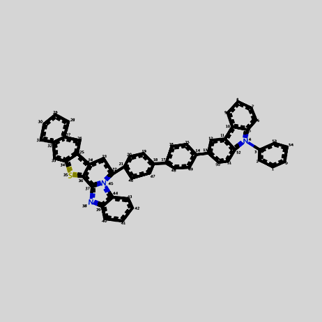 c1ccc(-n2c3ccccc3c3cc(-c4ccc(-c5ccc(-c6cc7c8cc9ccccc9cc8sc7c7nc8ccccc8n67)cc5)cc4)ccc32)cc1